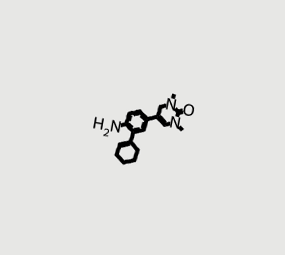 CN1C=C(c2ccc(N)c(C3=CCCCC3)c2)CN(C)C1=O